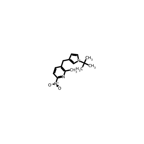 Cc1nc([N+](=O)[O-])ccc1Cc1ccn(C(C)(C)C)c1